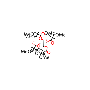 COCC(C)(COC)C(=O)OCC(COC(=O)C(C)(COC)COC)(COC(=O)C(C)(COC)COC)COC(=O)C(C)(COC)COC